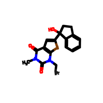 CC(C)Cn1c(=O)n(C)c(=O)c2cc(C3(O)CCc4ccccc43)sc21